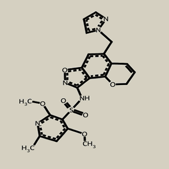 COc1cc(C)nc(OC)c1S(=O)(=O)Nc1noc2cc(Cn3cccn3)c3c(c12)OCC=C3